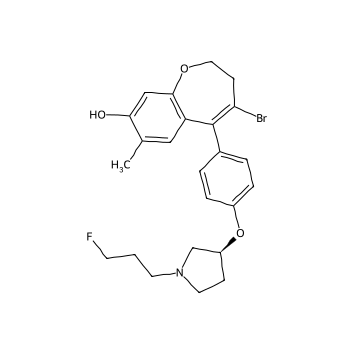 Cc1cc2c(cc1O)OCCC(Br)=C2c1ccc(O[C@H]2CCN(CCCF)C2)cc1